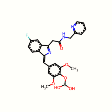 COc1cc(C=C2N=C(CC(=O)NCc3ccccn3)c3cc(F)ccc32)cc(OC)c1OB(O)O